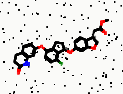 COC(=O)C[C@@H]1COc2cc(O[C@@H]3CCc4c(Oc5ccc6c(c5)NC(=O)CC6)ccc(F)c43)ccc21